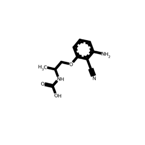 CC(COc1cccc(N)c1C#N)NC(=O)O